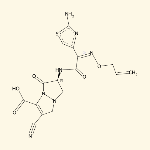 C=CCO/N=C(\C(=O)N[C@H]1CN2CC(C#N)=C(C(=O)O)N2C1=O)c1csc(N)n1